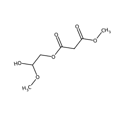 COC(=O)CC(=O)OCC(O)OC